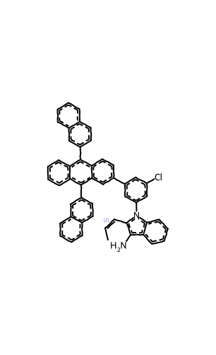 C/C=C\c1c(N)c2ccccc2n1-c1cc(Cl)cc(-c2ccc3c(-c4ccc5ccccc5c4)c4ccccc4c(-c4ccc5ccccc5c4)c3c2)c1